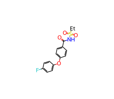 CCS(=O)(=O)NC(=O)c1ccc(Oc2ccc(F)cc2)cc1